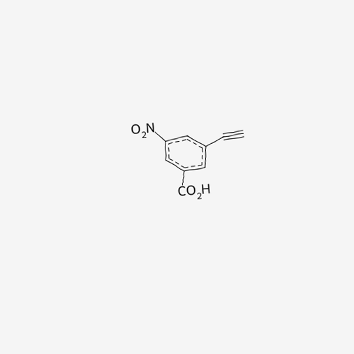 C#Cc1cc(C(=O)O)cc([N+](=O)[O-])c1